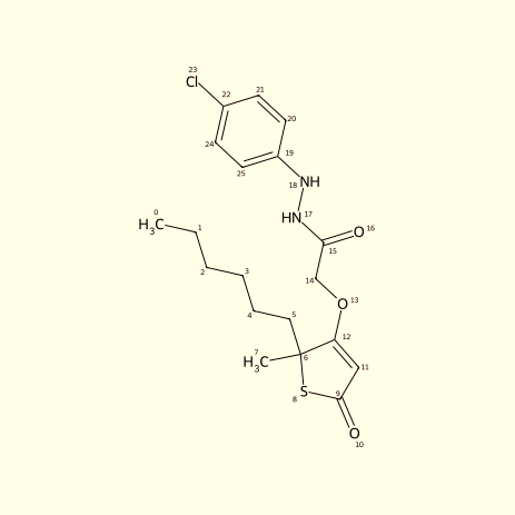 CCCCCCC1(C)SC(=O)C=C1OCC(=O)NNc1ccc(Cl)cc1